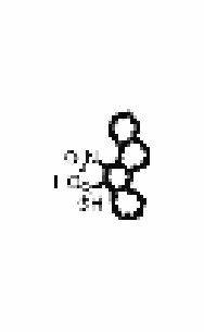 O=[N+]([O-])c1c(B(O)O)c2ccccc2c2ccc3ccccc3c12